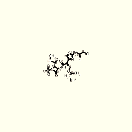 COC(=O)[C@H]1[C@@H](NC(=O)C(=NOC(C)C)c2csc(NC(=O)CCl)n2)C(=O)N1S(=O)(=O)[O-].[Na+]